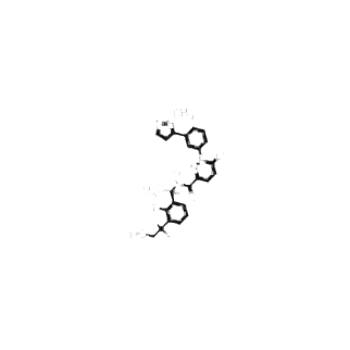 C[C@@H](NC(=O)c1ccc(=O)n(-c2cccc(-c3ccnn3C)c2)n1)c1cccc(C(F)(F)CO)c1F